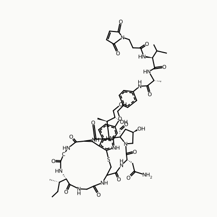 CC[C@H](C)[C@@H]1NC(=O)CNC(=O)C2Cc3c([nH]c4cc(OCc5ccc(NC(=O)[C@@H](C)NC(=O)[C@@H](NC(=O)CCN6C(=O)C=CC6=O)C(C)C)cc5)ccc34)SCC(NC(=O)CNC1=O)C(=O)N[C@@H](CC(N)=O)C(=O)N1C[C@H](O)C[C@]1(C=O)N[C@@H]([C@@H](C)[C@@H](O)CO)C(=O)N2